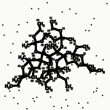 CCCCCCC(OC(C)(OC)OCC)(OC(C)(OC)OCC)C(C)(OC(C)(OC)OCC)C(=O)C(C)(OC(C)(OC)OCC)C(CCCCCC)(OC(C)(OC)OCC)OC(C)(OC)OCC